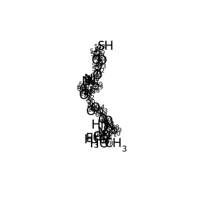 CCOCc1nc2c(NC(=O)OCc3ccc(OC(=O)CCCCC(=O)N4Cc5ccccc5-c5c(nnn5CCOc5ccc(C(=O)Oc6ccc(CS)cc6)cc5)-c5ccccc54)cc3)nc3ccccc3c2n1CC(C)(C)O